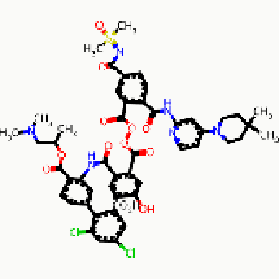 CC(CN(C)C)OC(=O)c1ccc(-c2ccc(Cl)cc2Cl)cc1NC(=O)c1cc(C(=O)O)c(O)cc1C(=O)OOC(=O)c1cc(C(=O)N=S(C)(C)=O)ccc1C(=O)Nc1cc(N2CCC(C)(C)CC2)ccn1